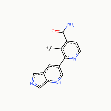 Cc1c(C(N)=O)ccnc1-c1c[nH]c2cncc-2c1